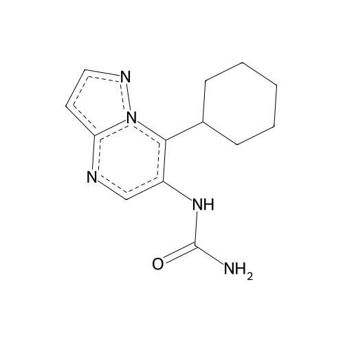 NC(=O)Nc1cnc2ccnn2c1C1CCCCC1